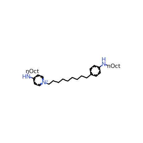 CCCCCCCCNc1ccc(CCCCCCCCC[n+]2ccc(NCCCCCCCC)cc2)cc1